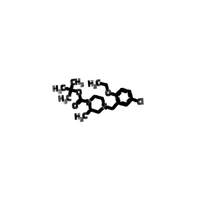 CCOc1ccc(Cl)cc1CN1CCN(C(=O)OC(C)(C)C)C(C)C1